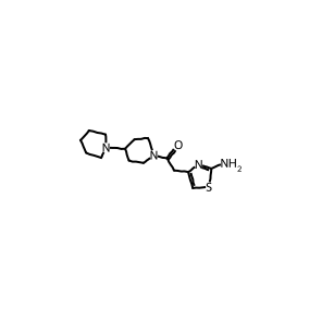 Nc1nc(CC(=O)N2CCC(N3CCCCC3)CC2)cs1